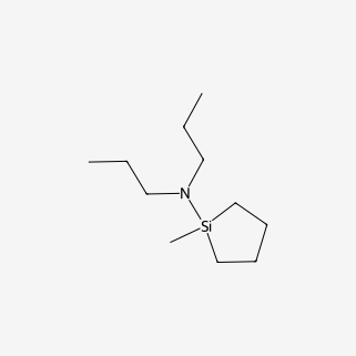 CCCN(CCC)[Si]1(C)CCCC1